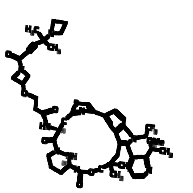 CO[C@@H](C)c1ncccc1-c1c2c3cc(ccc3n1CC(F)(F)F)-c1csc(n1)C[C@H](NC(=O)CCOC1CN(C(=O)C#CC(C)(C)N3CCC3)C1)C(=O)N1CCC[C@H](N1)C(=O)OCC(C)(C)C2